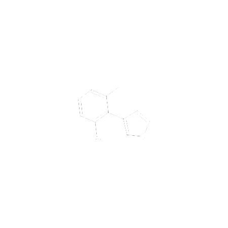 CC(=O)c1cccc(C)c1-c1ccsc1